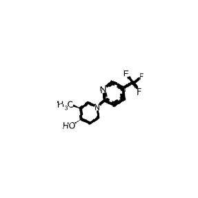 C[C@H]1CN(c2ccc(C(F)(F)F)cn2)CC[C@@H]1O